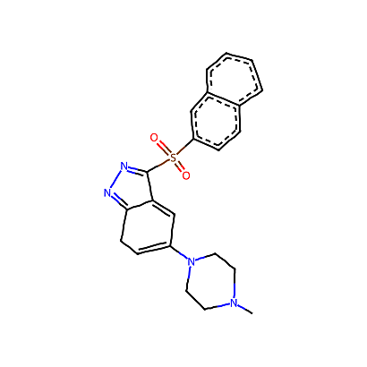 CN1CCN(C2=CCC3=NN=C(S(=O)(=O)c4ccc5ccccc5c4)C3=C2)CC1